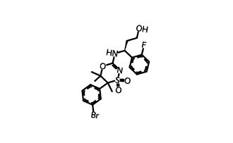 CC1(C)OC(N[C@@H](CCO)c2ccccc2F)=NS(=O)(=O)C1(C)c1cccc(Br)c1